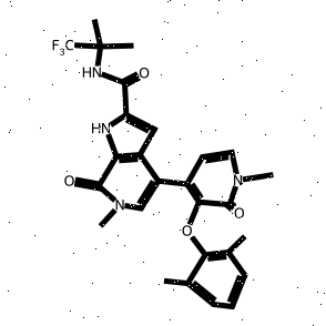 Cc1cccc(C)c1Oc1c(-c2cn(C)c(=O)c3[nH]c(C(=O)NC(C)(C)C(F)(F)F)cc23)ccn(C)c1=O